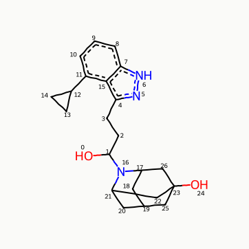 OC(CCc1n[nH]c2cccc(C3CC3)c12)N1C2CC3CC1CC(O)(C3)C2